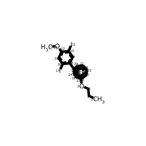 CCCO[C]12[CH]3[CH]4[C]5(c6cc(I)c(OC)cc6I)[CH]1[Fe]34251678[CH]2[CH]1[CH]6[CH]7[CH]28